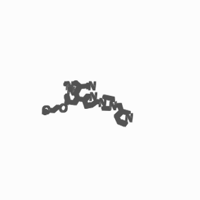 COCCOC1=CN2C(=C(C#N)CN2C)C(c2ccc(N3CCN(Cc4cccnc4)CC3)nc2)=C1